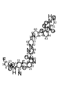 N#Cc1c(NS(=O)(=O)N2CC[C@@H](F)C2)ccc(F)c1Oc1ccc2ncn(-c3ccc(N4CCC(CN5CCC(Oc6cccc7c6C(=O)N(C6CCC(=O)NC6=O)C7=O)CC5)CC4)nc3)c(=O)c2c1